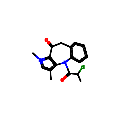 Cc1cn(C)c2c1N(C(=O)C(C)Cl)c1ccccc1CC2=O